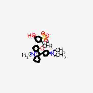 CCN(CC)c1ccc(-c2c3ccccc3[n+](C)c3ccccc23)c(OC)c1.Cc1ccc(O)cc1S(=O)(=O)[O-]